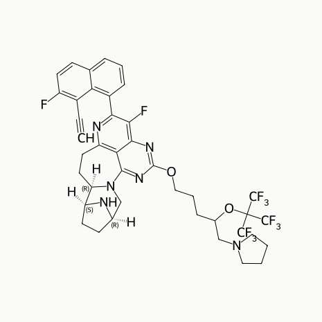 C#Cc1c(F)ccc2cccc(-c3nc4c5c(nc(OCCCC(CN6CCCC6)OC(C(F)(F)F)(C(F)(F)F)C(F)(F)F)nc5c3F)N3C[C@H]5CC[C@H](N5)[C@H]3CC4)c12